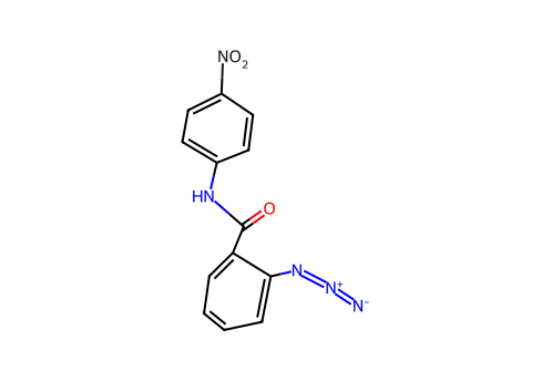 [N-]=[N+]=Nc1ccccc1C(=O)Nc1ccc([N+](=O)[O-])cc1